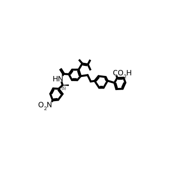 C=C(N[C@@H](C)c1ccc([N+](=O)[O-])cc1)c1ccc(CCc2ccc(-c3ccccc3C(=O)O)cc2)c(C(C)=C(C)C)c1